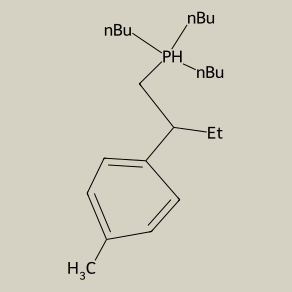 CCCC[PH](CCCC)(CCCC)CC(CC)c1ccc(C)cc1